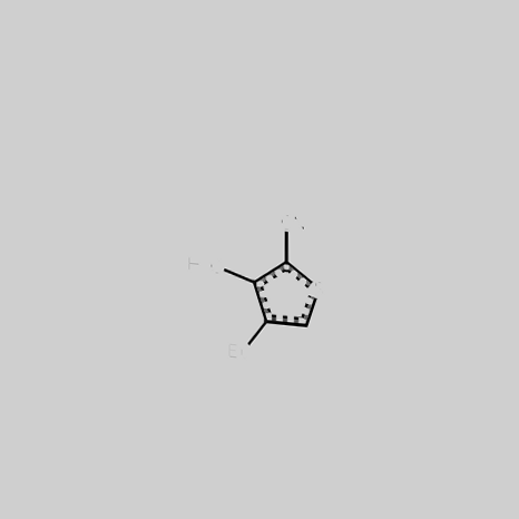 CCc1csc(C#N)c1C